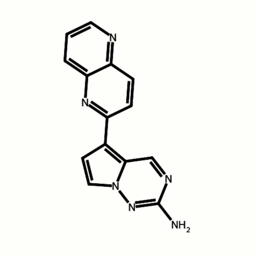 Nc1ncc2c(-c3ccc4ncccc4n3)ccn2n1